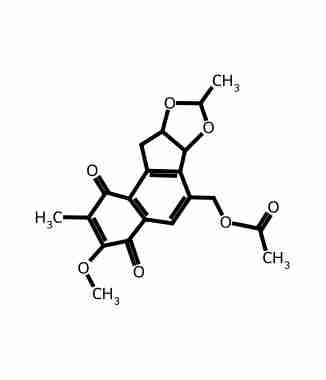 COC1=C(C)C(=O)c2c(cc(COC(C)=O)c3c2CC2OC(C)OC32)C1=O